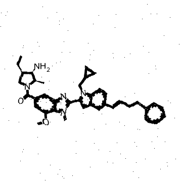 CC[C@@H]1CN(C(=O)c2cc(OC)c3c(c2)nc(-c2cc4cc(/C=C/CCc5ccccc5)ccc4n2CC2CC2)n3C)[C@H](C)[C@H]1N